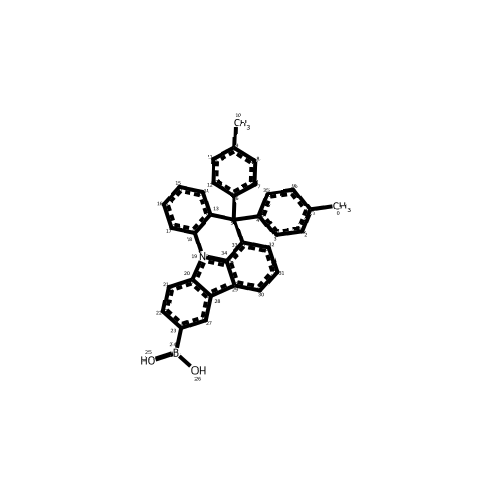 Cc1ccc(C2(c3ccc(C)cc3)c3ccccc3-n3c4ccc(B(O)O)cc4c4cccc2c43)cc1